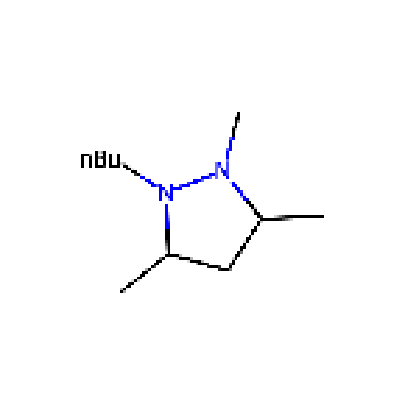 CCCCN1C(C)CC(C)N1C